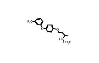 CC(CCOc1ccc(Oc2cccc(C(F)(F)F)c2)cc1)NC(=O)O